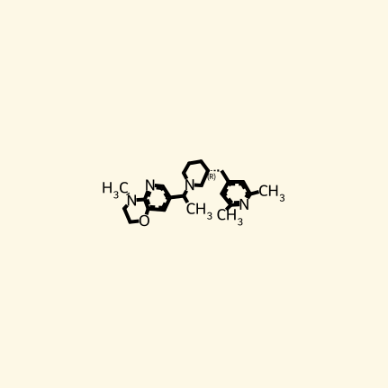 Cc1cc(C[C@H]2CCCN(C(C)c3cnc4c(c3)OCCN4C)C2)cc(C)n1